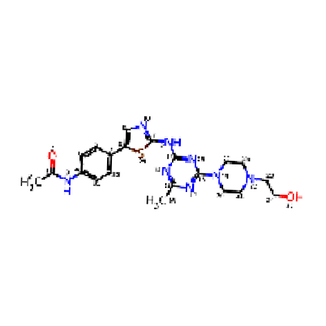 CC(=O)Nc1ccc(-c2cnc(Nc3nc(C)nc(N4CCN(CCO)CC4)n3)s2)cc1